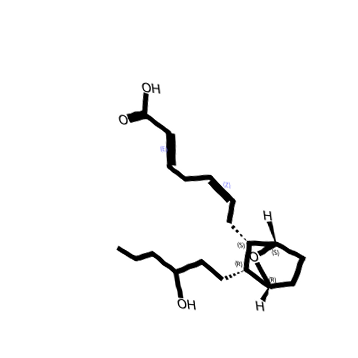 CCCC(O)CC[C@@H]1[C@H](C/C=C\C/C=C/C(=O)O)[C@@H]2CC[C@H]1O2